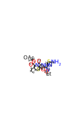 C/C=C\C1=C(C(=O)OC(C)OC(C)=O)N2C(=O)[C@@H](NC(=O)/C(=N\OCC)c3csc(N)n3)[C@H]2SC1